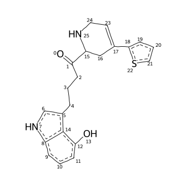 O=C(CCCc1c[nH]c2cccc(O)c12)C1CC(c2cccs2)=CCN1